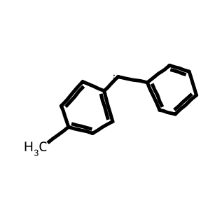 Cc1ccc([C]c2ccccc2)cc1